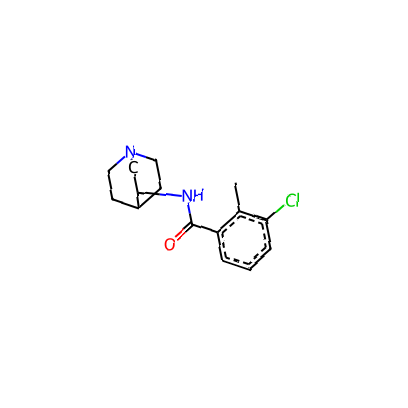 Cc1c(Cl)cccc1C(=O)NC1CN2CCC1CC2